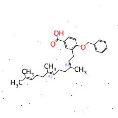 CC(C)=CCC/C(C)=C/CC/C(C)=C/Cc1cc(C(=O)O)ccc1OCc1ccccc1